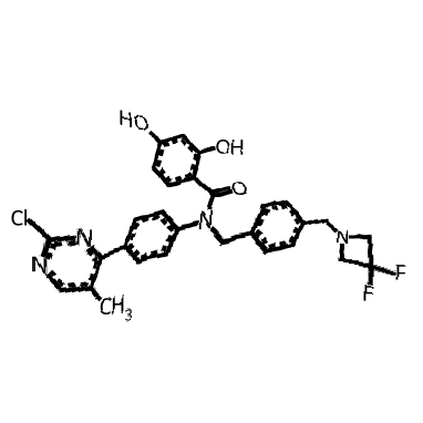 Cc1cnc(Cl)nc1-c1ccc(N(Cc2ccc(CN3CC(F)(F)C3)cc2)C(=O)c2ccc(O)cc2O)cc1